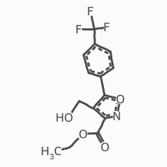 CCOC(=O)c1noc(-c2ccc(C(F)(F)F)cc2)c1CO